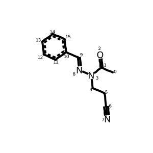 CC(=O)N(CCC#N)N=Cc1ccccc1